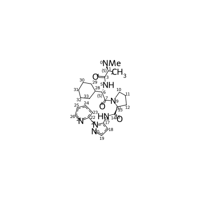 CN[C@@H](C)C(=O)N[C@H](C(=O)N1CCC[C@H]1C(=O)Nc1ccnn1-c1ccccn1)C1CCCCC1